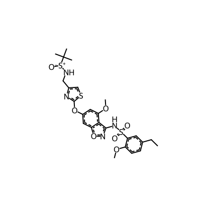 CCc1ccc(OC)c(S(=O)(=O)Nc2noc3cc(Oc4nc(CN[S+]([O-])C(C)(C)C)cs4)cc(OC)c23)c1